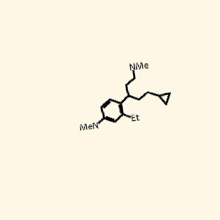 CCc1cc(NC)ccc1C(CCNC)CCC1CC1